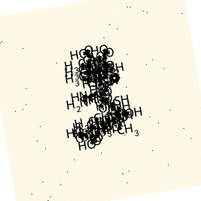 CC[C@H](C)[C@H](NC(=O)CN)C(=O)N[C@H](C(=O)N[C@@H](CCC(=O)O)C(=O)N[C@@H](CCC(=O)O)C(=O)N[C@@H](CS)C(=O)N[C@@H](CS)C(=O)N[C@@H](Cc1ccccc1)C(=O)N[C@@H](CCCNC(=N)N)C(=O)N[C@@H](CO)C(=O)N[C@@H](CS)C(=O)N[C@@H](CC(=O)O)C(=O)N[C@@H](CC(C)C)C(=O)N[C@@H](C)C(=O)N[C@@H](CC(C)C)C(=O)N[C@@H](CC(C)C)C(=O)N[C@@H](CCC(=O)O)C(=O)O)C(C)C